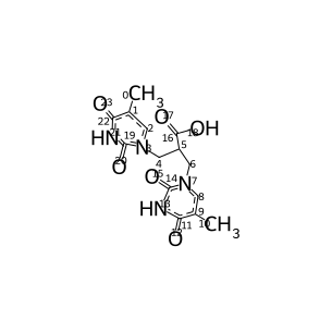 Cc1cn(CC(Cn2cc(C)c(=O)[nH]c2=O)C(=O)O)c(=O)[nH]c1=O